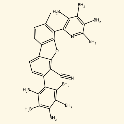 Bc1nc(-c2c(C)ccc3c2oc2c(C#N)c(-c4c(B)c(B)c(B)c(B)c4B)ccc23)c(B)c(B)c1B